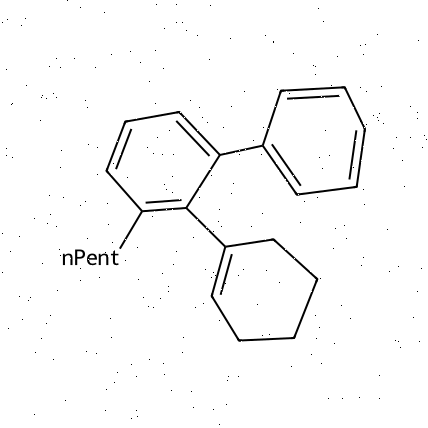 CCCCCc1cccc(-c2ccccc2)c1C1=CCCCC1